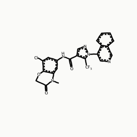 CN1C(=O)COc2c(Cl)cc(NC(=O)c3cnn(-c4cncc5ccccc45)c3C(F)(F)F)cc21